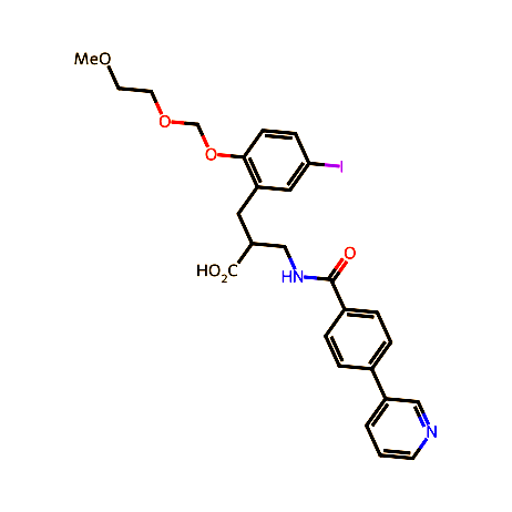 COCCOCOc1ccc(I)cc1CC(CNC(=O)c1ccc(-c2cccnc2)cc1)C(=O)O